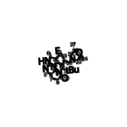 CC(Nc1ncc2ccc(=O)n(CC(C)(C)C)c2n1)c1ccc(CN2C[C@@H](C)O[C@@H](C)C2)cc1F